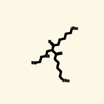 CCCCCCCCCCCCCCCC(=O)C(CNCCO)C(=O)CCCCCCCCCCCCCCC